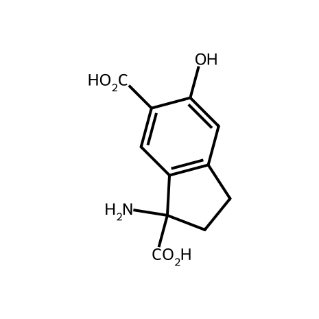 NC1(C(=O)O)CCc2cc(O)c(C(=O)O)cc21